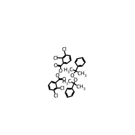 CC(C)(OOC(C)(C)c1ccccc1)c1ccccc1.O=C(OOC(=O)c1cccc(Cl)c1Cl)c1cccc(Cl)c1Cl